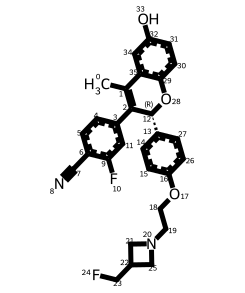 CC1=C(c2ccc(C#N)c(F)c2)[C@@H](c2ccc(OCCN3CC(CF)C3)cc2)Oc2ccc(O)cc21